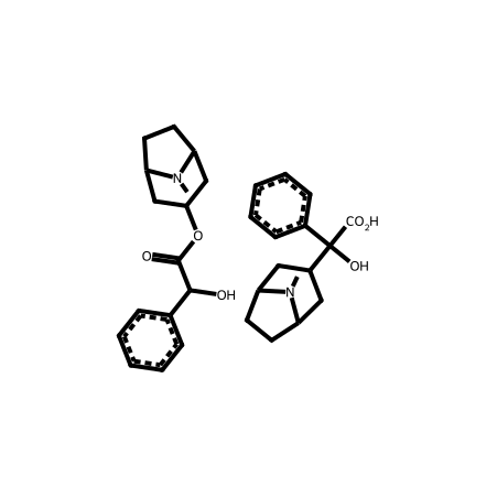 CN1C2CCC1CC(C(O)(C(=O)O)c1ccccc1)C2.CN1C2CCC1CC(OC(=O)C(O)c1ccccc1)C2